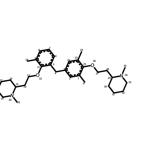 Cc1cc(Cc2cccc(C)c2OCCC2CCCCN2C)cc(C)c1OCCC1CCCCN1C